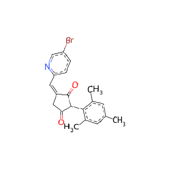 Cc1cc(C)c(C2C(=O)CC(=Cc3ccc(Br)cn3)C2=O)c(C)c1